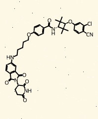 CC1(C)[C@H](NC(=O)c2ccc(OCCCCCNc3ccc4c(c3)C(=O)N(C3CCC(=O)NC3=O)C4=O)cc2)C(C)(C)[C@H]1Oc1ccc(C#N)c(Cl)c1